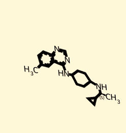 Cc1ccc2ncnc(NC3CCC(N[C@@H](C)C4CC4)CC3)c2c1